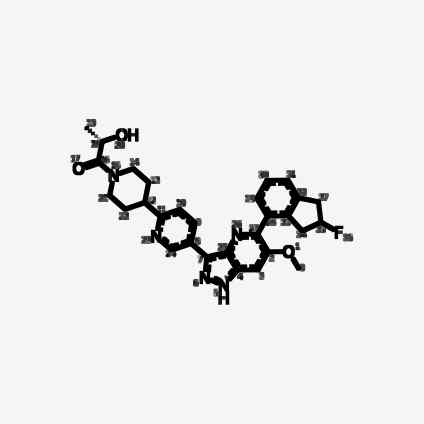 COc1cc2[nH]nc(-c3ccc(C4CCN(C(=O)[C@H](C)O)CC4)nc3)c2nc1-c1cccc2c1CC(F)C2